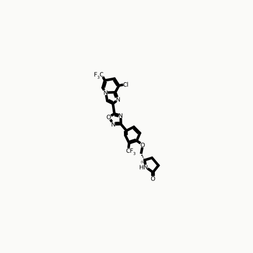 O=C1CC[C@@H](COc2ccc(-c3noc(-c4cn5cc(C(F)(F)F)cc(Cl)c5n4)n3)cc2C(F)(F)F)N1